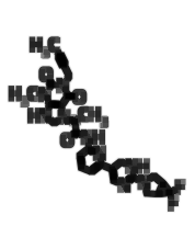 CC#CCn1c(=O)c2c(n(C)c1=O)NCN2[C@@H](C)C(=O)Nc1cccc(C2=CN=C(N3CC4C(C3)C4(F)F)NC2)n1